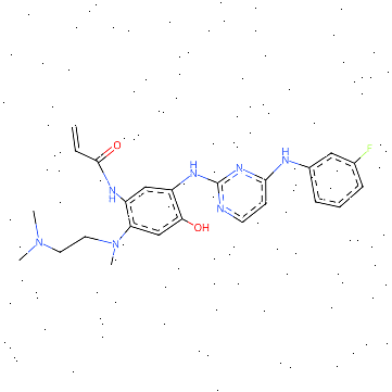 C=CC(=O)Nc1cc(Nc2nccc(Nc3cccc(F)c3)n2)c(O)cc1N(C)CCN(C)C